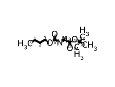 CCCCOC(=O)N=NC(=O)OC(C)(C)C